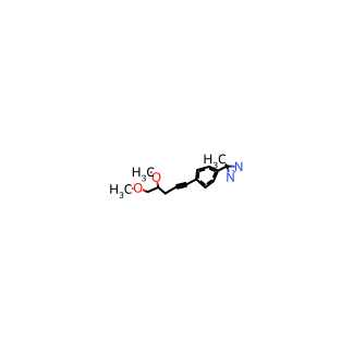 COCC(CC#Cc1ccc(C2(C)N=N2)cc1)OC